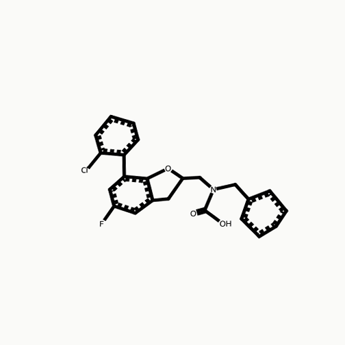 O=C(O)N(Cc1ccccc1)CC1Cc2cc(F)cc(-c3ccccc3Cl)c2O1